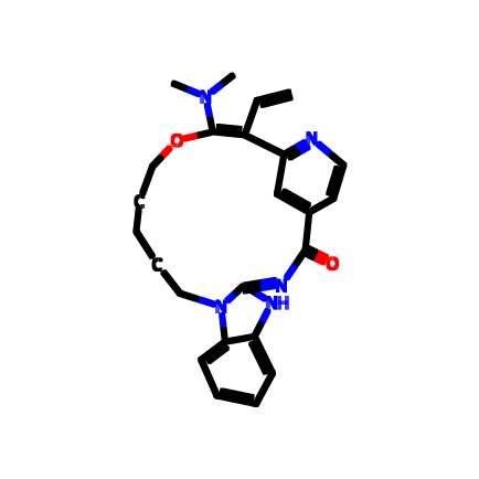 C=C/C1=C(\N(C)C)OCCCCCN2/C(=N/C(=O)c3ccnc1c3)Nc1ccccc12